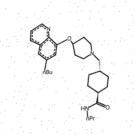 CCCCc1cc(OC2CCN(C[C@H]3CC[C@H](C(=O)NCCC)CC3)CC2)c2ncccc2c1